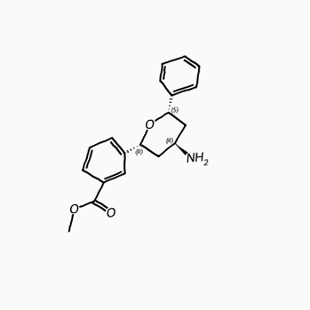 COC(=O)c1cccc([C@H]2C[C@H](N)C[C@@H](c3ccccc3)O2)c1